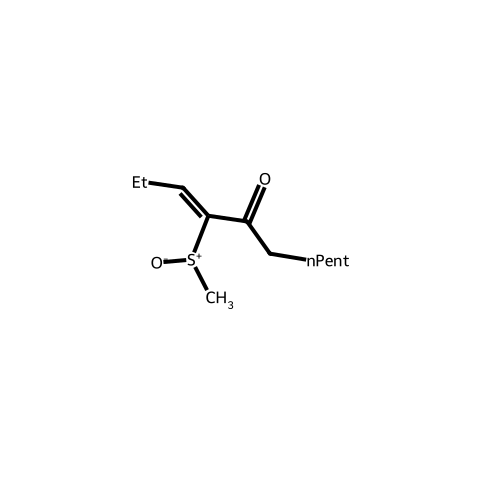 CCC=C(C(=O)CCCCCC)[S+](C)[O-]